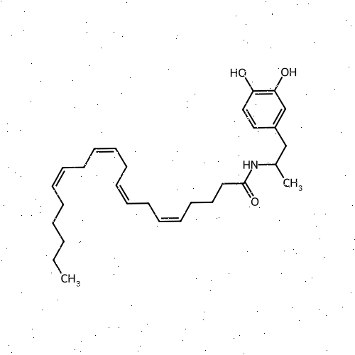 CCCCC/C=C\C/C=C\C/C=C\C/C=C\CCCC(=O)NC(C)Cc1ccc(O)c(O)c1